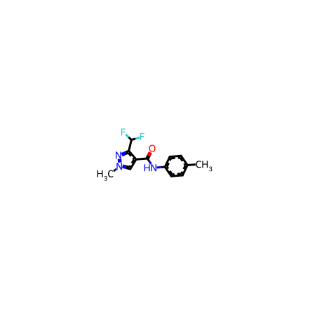 Cc1ccc(NC(=O)c2cn(C)nc2C(F)F)cc1